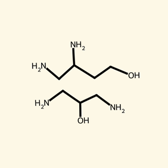 NCC(N)CCO.NCC(O)CN